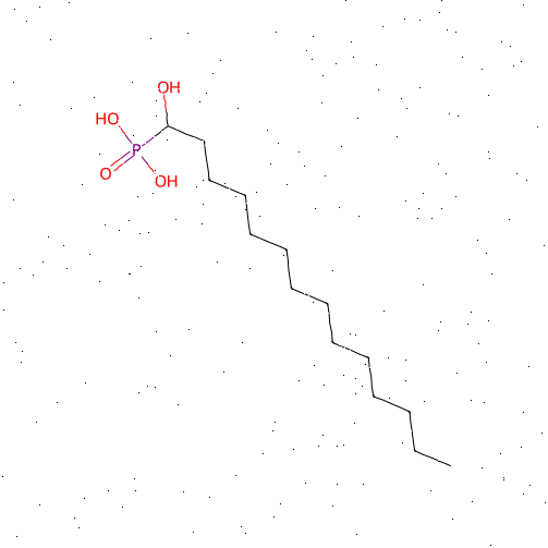 CCCCCCCCCCCCCC(O)P(=O)(O)O